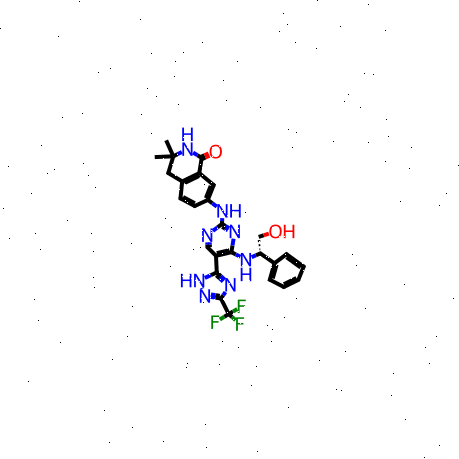 CC1(C)Cc2ccc(Nc3ncc(-c4nc(C(F)(F)F)n[nH]4)c(N[C@H](CO)c4ccccc4)n3)cc2C(=O)N1